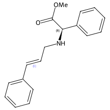 COC(=O)[C@H](NC/C=C/c1ccccc1)c1ccccc1